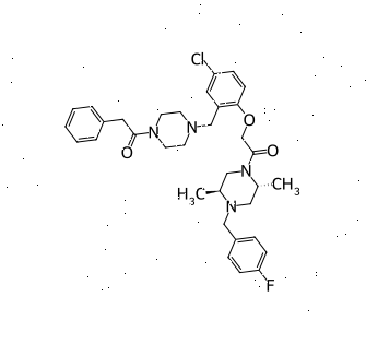 C[C@@H]1CN(Cc2ccc(F)cc2)[C@@H](C)CN1C(=O)COc1ccc(Cl)cc1CN1CCN(C(=O)Cc2ccccc2)CC1